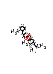 C/C=C\CC(CC1COC2(OC1)OCC(CC1CC=CCC1C)CO2)C(C)C